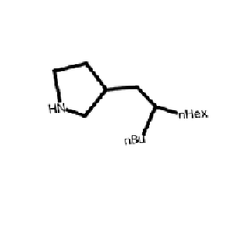 CCCCCCC(CCCC)CC1CCNC1